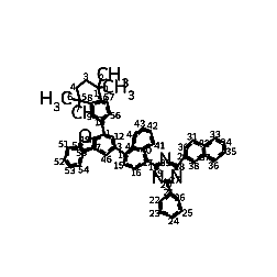 CC1(C)CCC(C)(C)c2cc(-c3cc(-c4ccc(-c5nc(-c6ccccc6)nc(-c6ccc7ccccc7c6)n5)c5ccccc45)cc4c3oc3ccccc34)ccc21